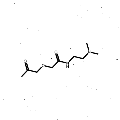 CC(=O)COCC(=O)NCCN(C)C